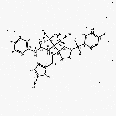 Cc1ccc(C(C)(C)N2CCC(CCc3ccc(F)s3)(C(NC(=O)Nc3ccccc3)(C(F)(F)F)C(F)(F)F)C2)cn1